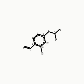 C=Cc1ccc(CC(C)C)cc1C